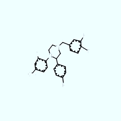 Fc1ccc(C2CN(Cc3ccc(F)c(F)c3)CCN2c2ccc(Cl)cc2F)cc1